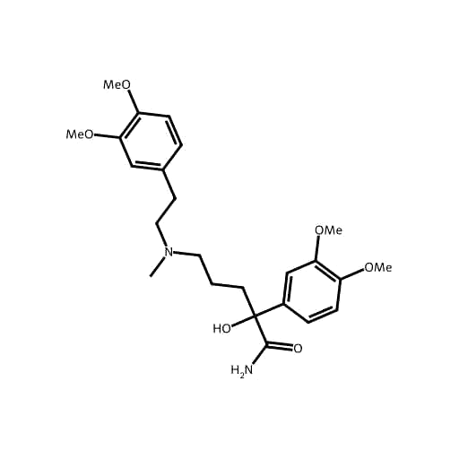 COc1ccc(CCN(C)CCCC(O)(C(N)=O)c2ccc(OC)c(OC)c2)cc1OC